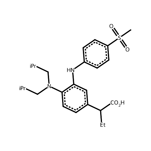 CCC(C(=O)O)c1ccc(N(CC(C)C)CC(C)C)c(Nc2ccc(S(C)(=O)=O)cc2)c1